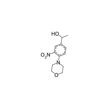 CC(O)c1ccc(N2CCOCC2)c([N+](=O)[O-])c1